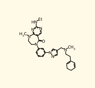 CCNc1ncc2c(n1)N(C)CCN(c1cccc(-n3cc(CN(C)CCC4=CCCC=C4)cn3)c1)C2=O